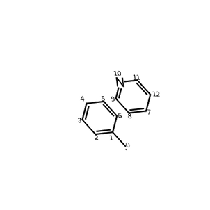 [CH2]c1ccccc1.c1ccncc1